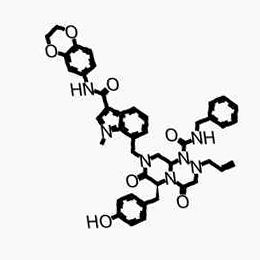 C=CCN1CC(=O)N2C(CN(Cc3cccc4c(C(=O)Nc5ccc6c(c5)OCCO6)cn(C)c34)C(=O)[C@@H]2Cc2ccc(O)cc2)N1C(=O)NCc1ccccc1